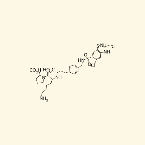 NCCCC[C@H](N[C@@H](CCc1ccc(CNS(=O)(=O)c2cc3c(cc2Cl)NC(CCl)NS3)cc1)C(=O)O)C(=O)N1CCC[C@H]1C(=O)O